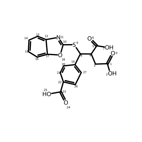 O=C(O)CC(C(=O)O)C(Sc1nc2ccccc2o1)c1ccc(C(=O)O)cc1